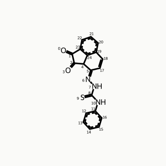 O=C1C(=O)C2C(=NNC(=S)Nc3ccccc3)C=Cc3cccc1c32